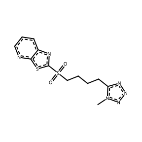 Cn1nnnc1CCCCS(=O)(=O)c1nc2cccnc2s1